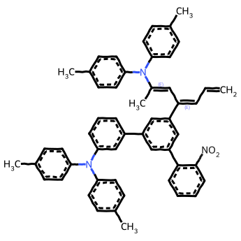 C=C/C=C(\C=C(/C)N(c1ccc(C)cc1)c1ccc(C)cc1)c1cc(-c2cccc(N(c3ccc(C)cc3)c3ccc(C)cc3)c2)cc(-c2ccccc2[N+](=O)[O-])c1